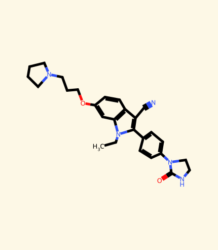 CCn1c(-c2ccc(N3CCNC3=O)cc2)c(C#N)c2ccc(OCCCN3CCCC3)cc21